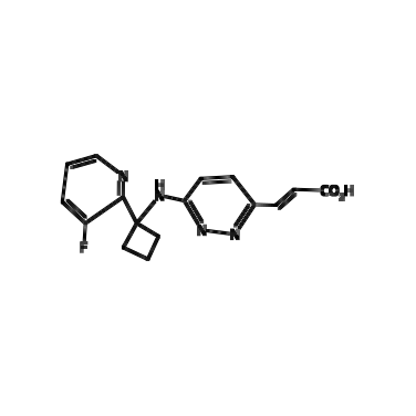 O=C(O)/C=C/c1ccc(NC2(c3ncccc3F)CCC2)nn1